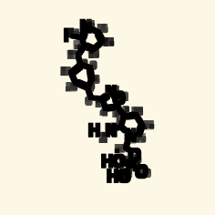 NC1C(c2cc(Cc3ccc(Cc4cccnc4F)cc3)no2)=CC=CN1COP(=O)(O)O